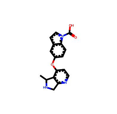 CC1NCc2nccc(Oc3ccc4c(ccn4C(=O)O)c3)c21